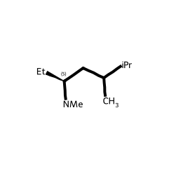 CC[C@@H](CC(C)C(C)C)NC